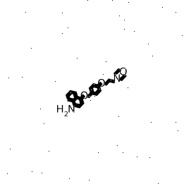 Nc1ccc(OCc2ccc(OCCCN3CCOCC3)cc2)c2ccccc12